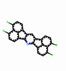 Fc1ccc2c3cc4c5ccc(F)c6c(F)ccc(c4nc3c3ccc(F)c1c23)c65